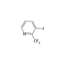 FC(F)(F)c1ncccc1I